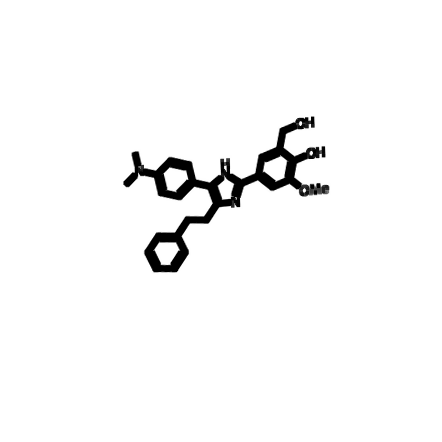 COc1cc(-c2nc(CCc3ccccc3)c(-c3ccc(N(C)C)cc3)[nH]2)cc(CO)c1O